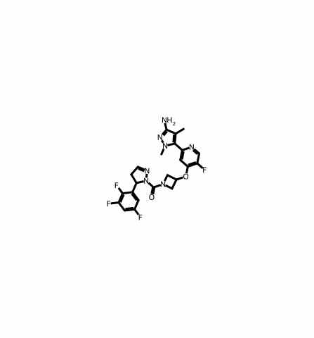 Cc1c(N)nn(C)c1-c1cc(OC2CN(C(=O)N3N=CCC3c3cc(F)cc(F)c3F)C2)c(F)cn1